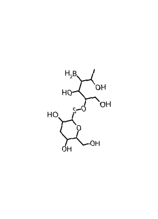 BC(C(C)O)C(O)C(CO)OSC1OC(CO)C(O)CC1O